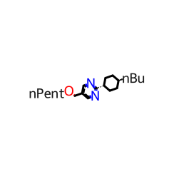 CCCCCOCc1cnc([C@H]2CC[C@H](CCCC)CC2)nc1